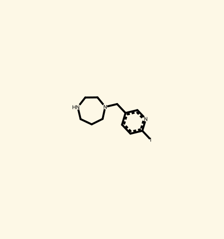 Ic1ccc(CN2CCCNCC2)cn1